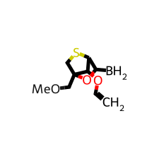 BC1OC2(COC)CSC1C2OC=C